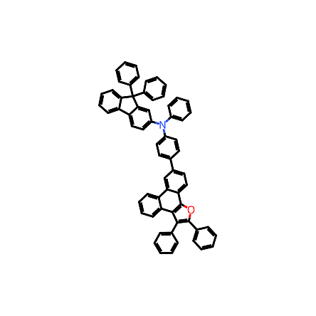 c1ccc(-c2oc3c4ccc(-c5ccc(N(c6ccccc6)c6ccc7c(c6)C(c6ccccc6)(c6ccccc6)c6ccccc6-7)cc5)cc4c4ccccc4c3c2-c2ccccc2)cc1